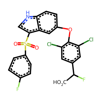 O=C(O)C(F)c1cc(Cl)c(Oc2ccc3[nH]cc(S(=O)(=O)c4ccc(F)cc4)c3c2)c(Cl)c1